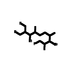 CCC(C(C)CCC(C)C(C(C)C)C(C)CF)C(CF)CF